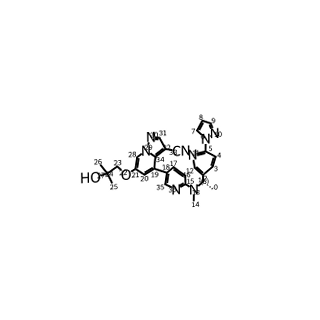 C[C@@H](c1ccc(-n2cccn2)nc1)N(C)c1ccc(-c2cc(OCC(C)(C)O)cn3ncc(C#N)c23)cn1